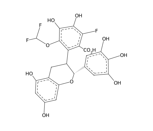 O=C(O)c1c(F)c(O)c(O)c(OC(F)F)c1C1Cc2c(O)cc(O)cc2O[C@H]1c1cc(O)c(O)c(O)c1